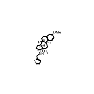 COc1ccc2c(c1)CC[C@@H]1[C@@H]2CC[C@]2(C)[C@@H](NCc3cccs3)CC[C@@H]12